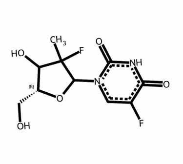 CC1(F)C(O)[C@@H](CO)OC1n1cc(F)c(=O)[nH]c1=O